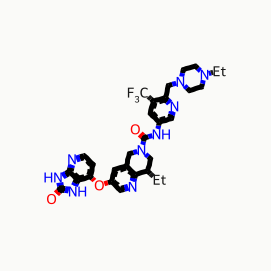 CCC1CN(C(=O)Nc2cnc(CN3CCN(CC)CC3)c(C(F)(F)F)c2)Cc2cc(Oc3ccnc4[nH]c(=O)[nH]c34)cnc21